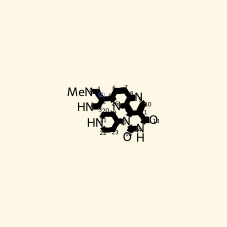 CN/C=C(\C=N)c1ccc2ncc3c(=O)[nH]c(=O)n(C4CCNCC4)c3c2n1